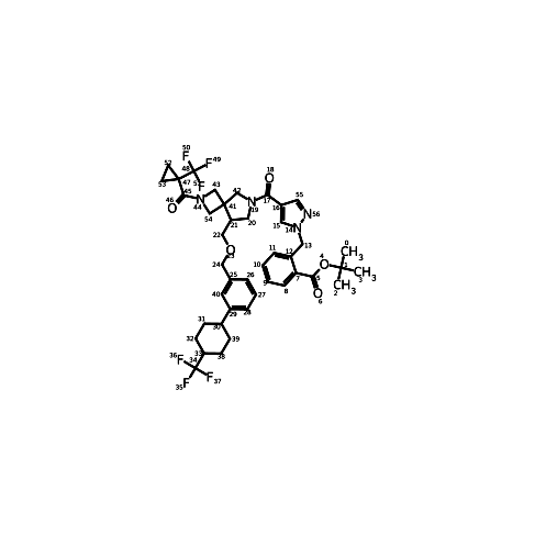 CC(C)(C)OC(=O)c1ccccc1Cn1cc(C(=O)N2CC(COCc3cccc(C4CCC(C(F)(F)F)CC4)c3)C3(C2)CN(C(=O)C2(C(F)(F)F)CC2)C3)cn1